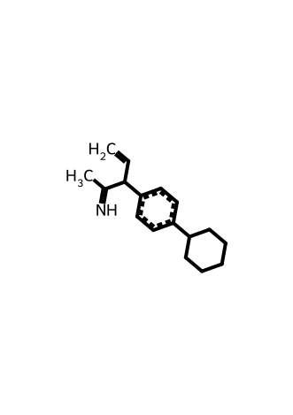 C=CC(C(C)=N)c1ccc(C2CCCCC2)cc1